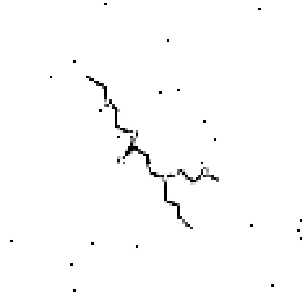 CCOCCOC(=O)CCN(CCOC)CCOC